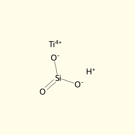 O=[Si]([O-])[O-].[H+].[Ti+4]